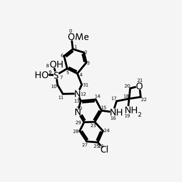 COc1ccc2c(c1)S(O)(O)CCN(c1cc(NCC3(N)COC3)c3cc(Cl)ccc3n1)C2